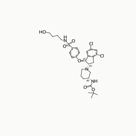 CC(C)(C)OC(=O)N[C@@H]1CCCN([C@H]2Cc3c(Cl)cc(Cl)cc3[C@@H]2Oc2ccc(S(=O)(=O)NCCCCO)cc2)C1